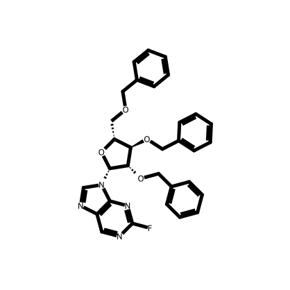 Fc1ncc2ncn([C@@H]3O[C@H](COCc4ccccc4)[C@@H](OCc4ccccc4)[C@@H]3OCc3ccccc3)c2n1